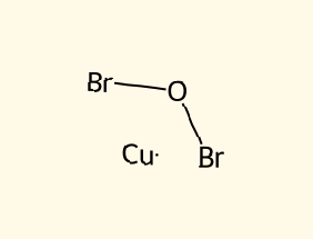 BrOBr.[Cu]